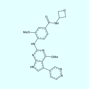 COc1cc(C(=O)NC2COC2)ccc1Nc1nc(OC)c2c(-c3ccnnc3)c[nH]c2n1